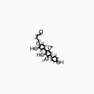 COc1cc(-c2ccc(O)cc2)c(OC)c(O)c1-c1ccc(OC/C=C\CCl)c(O)c1